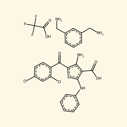 NCc1cccc(CN)c1.Nc1c(C(=O)c2ccc(Cl)cc2Cl)sc(Nc2ccccc2)c1C(=O)O.O=C(O)C(F)(F)F